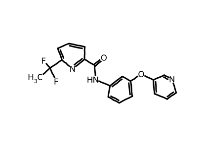 CC(F)(F)c1cccc(C(=O)Nc2cccc(Oc3cccnc3)c2)n1